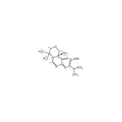 CC(C)c1cc2c(cc1O)[C@@]1(C)CCCC(C)(C)C1C=C2